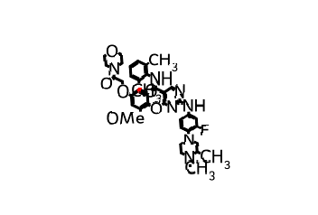 COc1cc(OCC(=O)N2CCOCC2)ccc1Oc1nc(Nc2ccc(N3CCN(C)C(C)C3)c(F)c2)ncc1C(=O)Nc1c(C)cccc1C